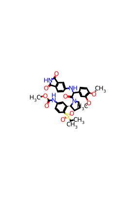 COC(=O)Nc1ccc(S(=O)(=O)C(C)C)c([C@H]2CCCN2C(=O)[C@@H](Nc2ccc3c(c2)C(=O)NC3=O)c2ccc(OC)c(OC)c2)c1